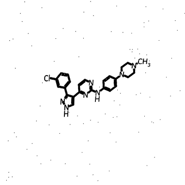 CN1CCN(c2ccc(Nc3nccc(-c4c[nH]nc4-c4cccc(Cl)c4)n3)cc2)CC1